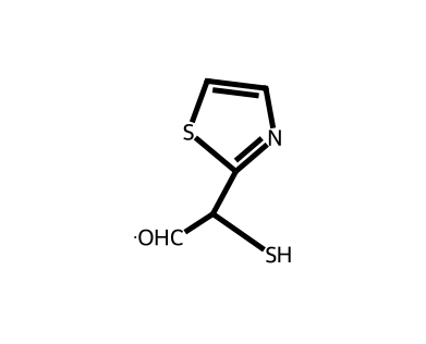 O=[C]C(S)c1nccs1